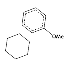 C1CCCCC1.COc1ccccc1